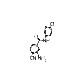 N#Cc1ccc(C(=O)Nc2ccc(Cl)cc2)cc1N